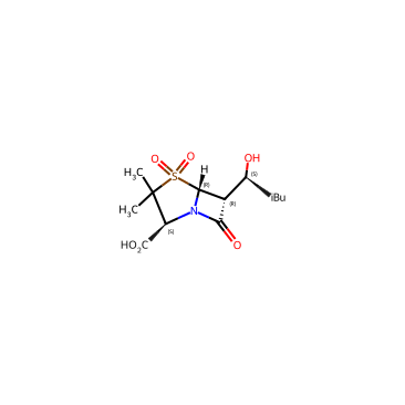 CCC(C)[C@H](O)[C@@H]1C(=O)N2[C@@H](C(=O)O)C(C)(C)S(=O)(=O)[C@H]12